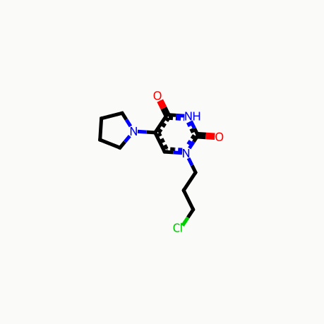 O=c1[nH]c(=O)n(CCCCl)cc1N1CCCC1